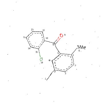 CSc1ccc(C)cc1C(=O)c1ccccc1Cl